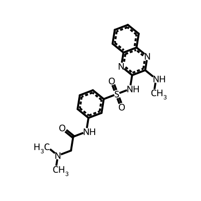 CNc1nc2ccccc2nc1NS(=O)(=O)c1cccc(NC(=O)CN(C)C)c1